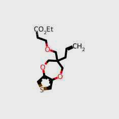 C=CCC1(COCCC(=O)OCC)COc2cscc2OC1